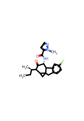 CC[C@@H](C)C1C(=O)[C@H](NC(=O)c2ccnn2C)C2c3cc(F)ccc3CC23CC13